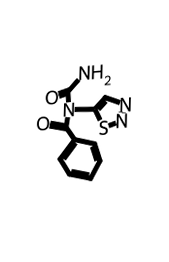 NC(=O)N(C(=O)c1ccccc1)c1cnns1